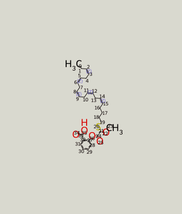 CC/C=C\C/C=C\C/C=C\C/C=C\C/C=C\CCCCSC(OC)C(=O)Oc1ccccc1C(=O)O